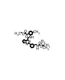 CCOC(=O)Cc1ccc(C)cc1NC(=O)c1nc(-c2cccc(CNC(=O)OC(C)(C)C)c2)nn2cccc12